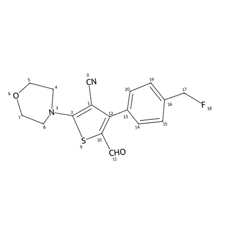 N#Cc1c(N2CCOCC2)sc(C=O)c1-c1ccc(CF)cc1